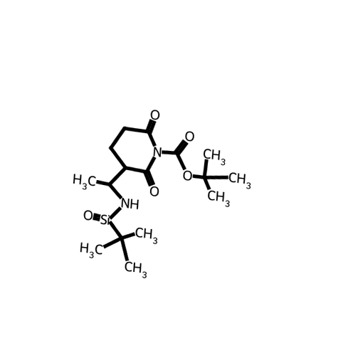 CC(N[Si](=O)C(C)(C)C)C1CCC(=O)N(C(=O)OC(C)(C)C)C1=O